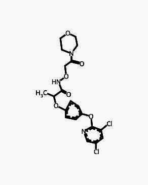 CC(Oc1ccc(Oc2ncc(Cl)cc2Cl)cc1)C(=O)NOCC(=O)N1CCOCC1